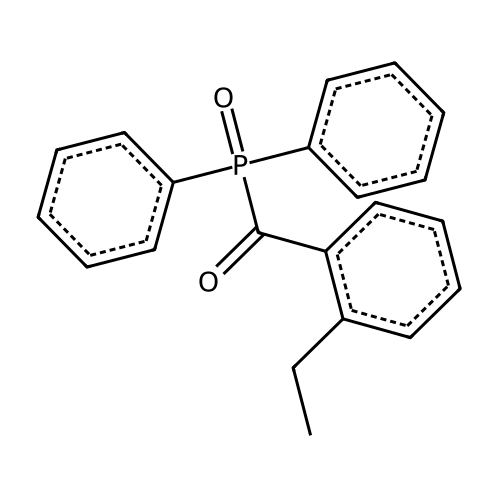 CCc1ccccc1C(=O)P(=O)(c1ccccc1)c1ccccc1